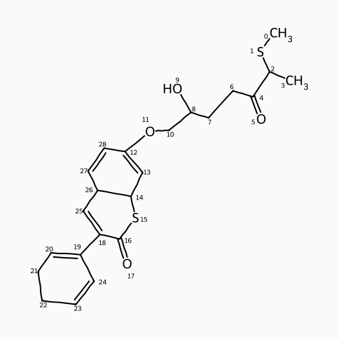 CSC(C)C(=O)CCC(O)COC1=CC2SC(=O)C(C3=CCCC=C3)=CC2C=C1